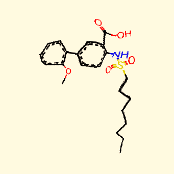 CCCCCCCCS(=O)(=O)Nc1ccc(-c2ccccc2OC)cc1C(=O)O